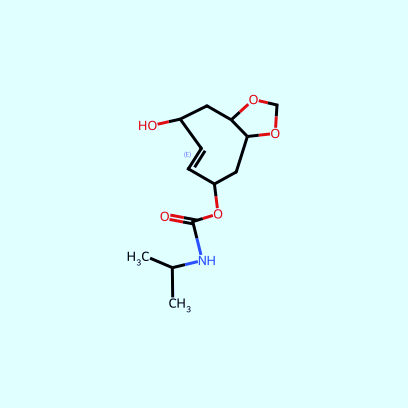 CC(C)NC(=O)OC1/C=C/C(O)CC2OCOC2C1